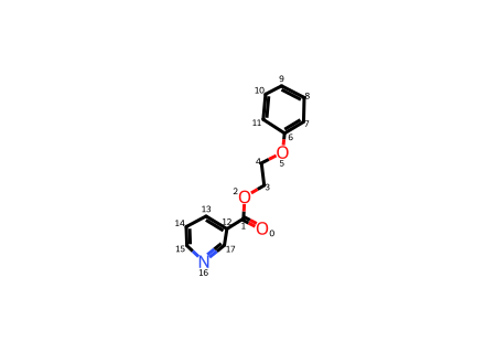 O=C(OCCOc1ccccc1)c1cccnc1